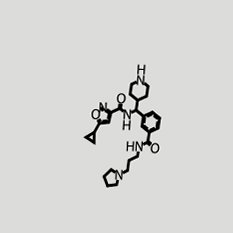 O=C(NCCCN1CCCC1)c1cccc(C(NC(=O)c2cc(C3CC3)on2)C2CCNCC2)c1